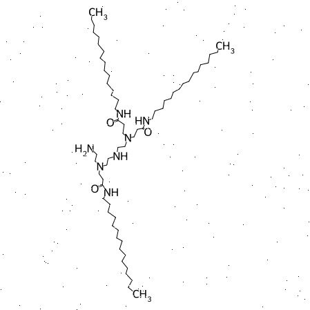 CCCCCCCCCCCCCCCCNC(=O)CCN(CCN)CCNCCN(CCC(=O)NCCCCCCCCCCCCCCCC)CCC(=O)NCCCCCCCCCCCCCCCC